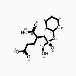 O=C(O)CCC(CP(=O)(SO)SC1CCCCO1)C(=O)O